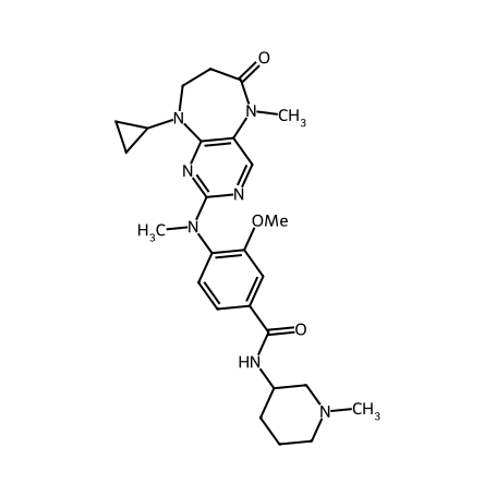 COc1cc(C(=O)NC2CCCN(C)C2)ccc1N(C)c1ncc2c(n1)N(C1CC1)CCC(=O)N2C